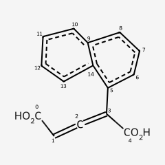 O=C(O)C=C=C(C(=O)O)c1cccc2ccccc12